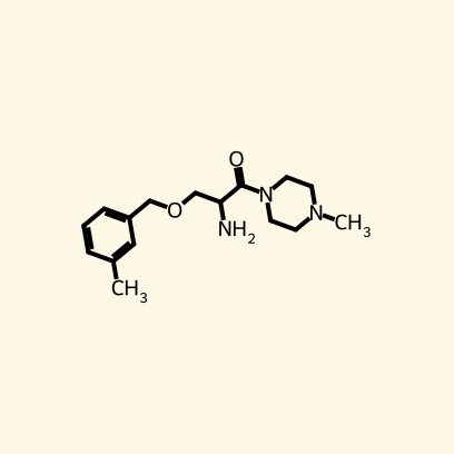 Cc1cccc(COCC(N)C(=O)N2CCN(C)CC2)c1